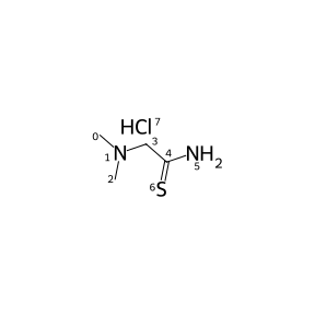 CN(C)CC(N)=S.Cl